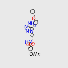 COc1ccc(S(=O)(=O)NC[C@H]2C[C@H](n3cc(-c4cccc(OCc5ccccc5)c4)c4c(N)ncnc43)C2)cc1